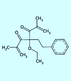 C=C(C)C(=O)C(CCc1ccccc1)(OCC)C(=O)C(=C)C